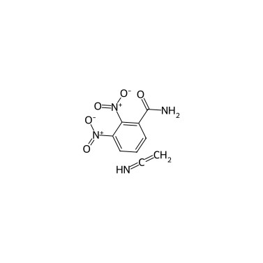 C=C=N.NC(=O)c1cccc([N+](=O)[O-])c1[N+](=O)[O-]